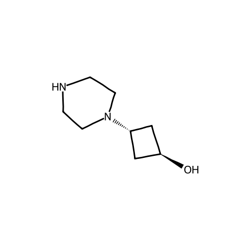 O[C@H]1C[C@H](N2CCNCC2)C1